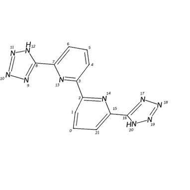 c1cc(-c2cccc(-c3nnn[nH]3)n2)nc(-c2nnn[nH]2)c1